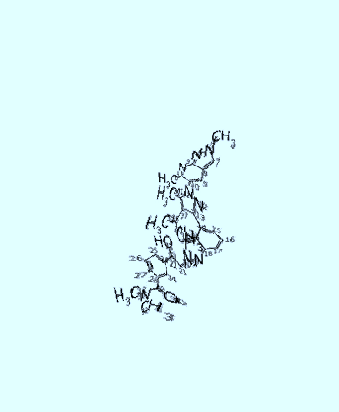 Cc1nc2nn(C)cc2cc1-n1nc(-c2cccc3nn(C[C@H](O)c4cccc(C(=O)N(C)C)c4)cc23)c(C(C)C)c1C